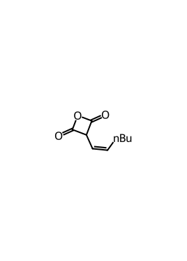 CCCC/C=C\C1C(=O)OC1=O